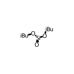 CCC(C)O[Si](=O)OC(C)CC